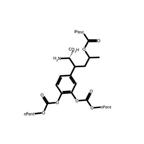 CCCCCOC(=O)Oc1ccc(C(CC(C)OC(=O)C(C)CCC)[C@H](N)C(=O)O)cc1OC(=O)OCCCCC